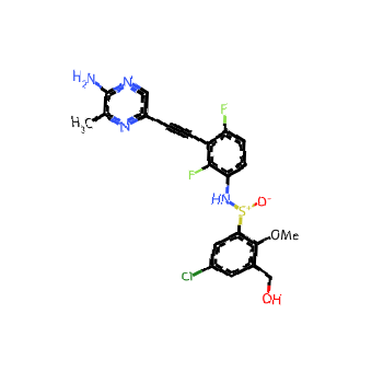 COc1c(CO)cc(Cl)cc1[S+]([O-])Nc1ccc(F)c(C#Cc2cnc(N)c(C)n2)c1F